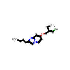 CCCCc1cn2ccc(OC/C(=C/F)CC)cc2n1